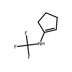 FC(F)(F)NC1=CCCC1